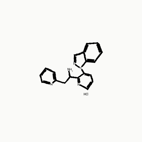 Cl.NC(Cc1ccccn1)c1ncccc1-n1ncc2ccccc21